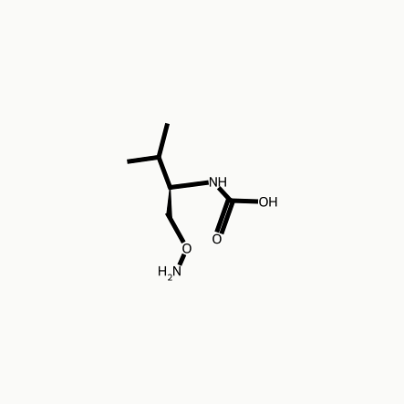 CC(C)[C@H](CON)NC(=O)O